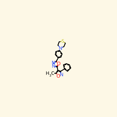 Cc1onc(-c2ccccc2)c1-c1nnc(-c2ccc(N3CCSCC3)cc2)o1